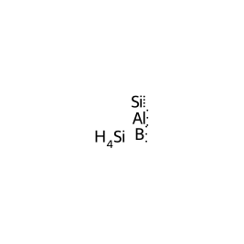 [Al].[B].[SiH4].[Si]